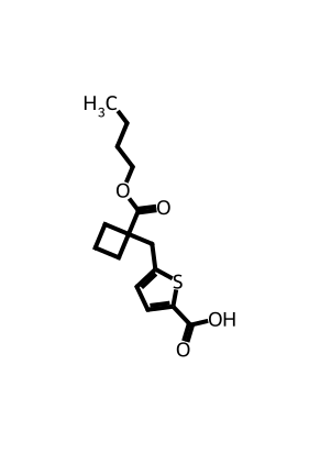 CCCCOC(=O)C1(Cc2ccc(C(=O)O)s2)CCC1